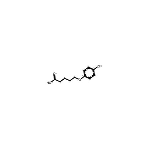 O=C(O)CCCCOc1ccc(Cl)cc1